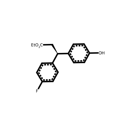 CCOC(=O)C[C@@H](c1ccc(O)cc1)c1ccc(F)cc1